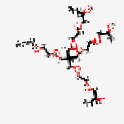 [2H]C(=O)COCCOCC(COCCOCC([2H])=O)(COCCOCC([2H])=O)COCCOCC(C)=O